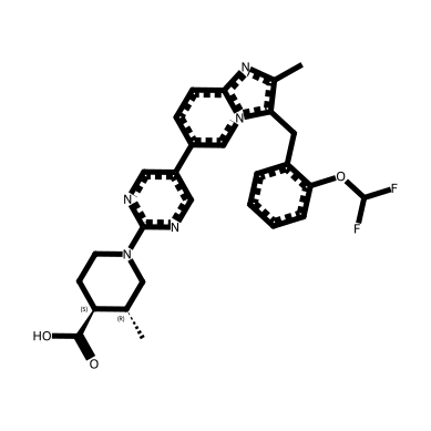 Cc1nc2ccc(-c3cnc(N4CC[C@H](C(=O)O)[C@@H](C)C4)nc3)cn2c1Cc1ccccc1OC(F)F